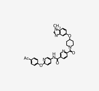 CC(=O)c1ccc(Oc2ccc(NC(=O)c3ccc(C(=O)N4CCC(Oc5ccc6c(c5)ncn6C)CC4)nc3)cn2)cc1